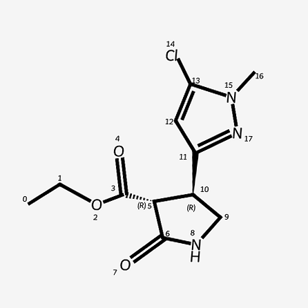 CCOC(=O)[C@H]1C(=O)NC[C@@H]1c1cc(Cl)n(C)n1